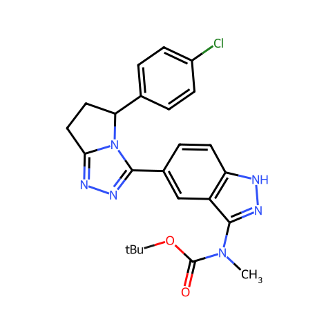 CN(C(=O)OC(C)(C)C)c1n[nH]c2ccc(-c3nnc4n3C(c3ccc(Cl)cc3)CC4)cc12